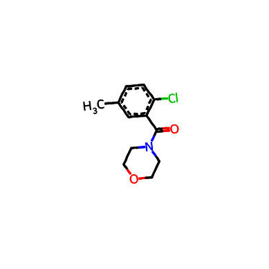 Cc1ccc(Cl)c(C(=O)N2CCOCC2)c1